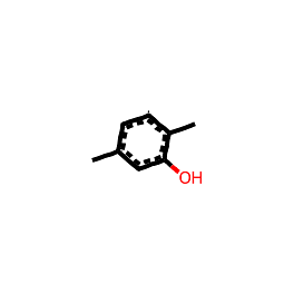 Cc1c[c]c(C)c(O)c1